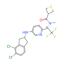 CN(C(=O)C1CSC1)[C@@H](c1ccc(NC2Cc3ccc(Cl)c(Cl)c3C2)cn1)C(F)(F)F